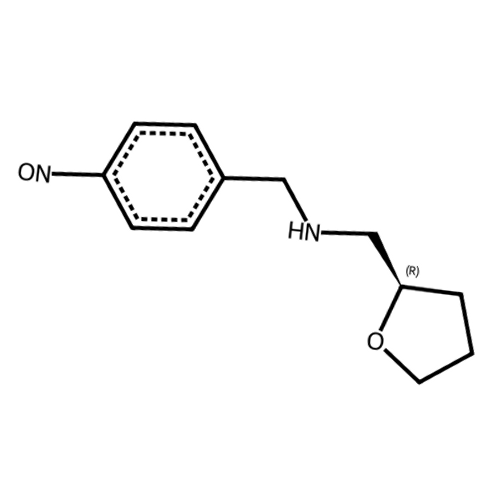 O=Nc1ccc(CNC[C@H]2CCCO2)cc1